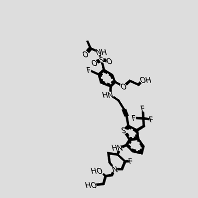 CC(=O)NS(=O)(=O)c1cc(OCCO)c(NCC#Cc2sc3c(NC4CCN(CC(O)CO)CC4F)cccc3c2CC(F)(F)F)cc1F